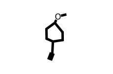 C#CC1CCC(OC)CC1